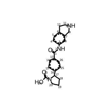 O=C(Nc1ccc2c(c1)CNCC2)c1ccc(C2CCCN2C(=O)O)cc1